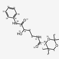 CC1(C)OCC(C)(C)[C@H](C(=O)NCCC(O)C(=O)Nc2ccccc2)O1